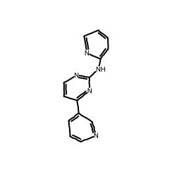 c1ccc(Nc2nccc(-c3cccnc3)n2)nc1